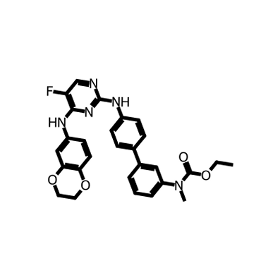 CCOC(=O)N(C)c1cccc(-c2ccc(Nc3ncc(F)c(Nc4ccc5c(c4)OCCO5)n3)cc2)c1